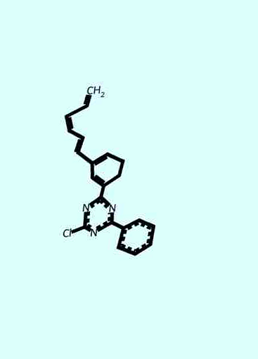 C=C/C=C\C=C\C1=CCCC(c2nc(Cl)nc(-c3ccccc3)n2)=C1